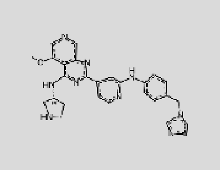 COc1cncc2nc(-c3ccnc(Nc4ccc(Cn5ccnc5)cc4)c3)nc(N[C@@H]3CCNC3)c12